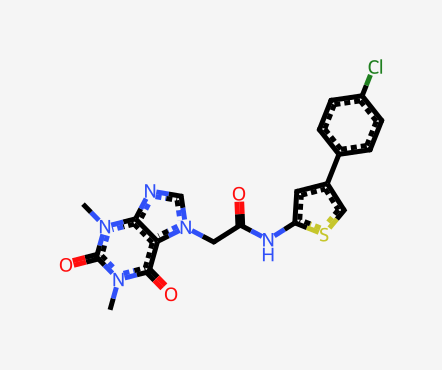 Cn1c(=O)c2c(ncn2CC(=O)Nc2cc(-c3ccc(Cl)cc3)cs2)n(C)c1=O